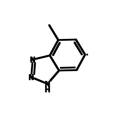 Cc1c[c]cc2[nH]nnc12